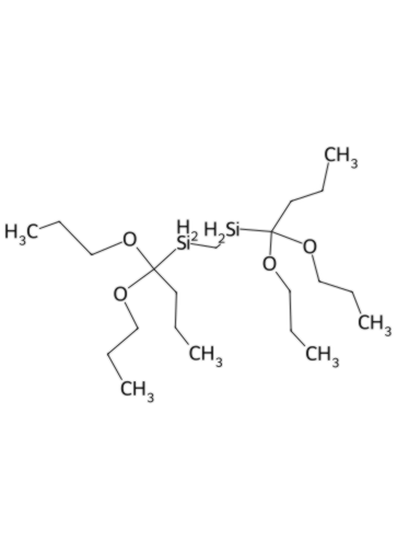 CCCOC(CCC)(OCCC)[SiH2]C[SiH2]C(CCC)(OCCC)OCCC